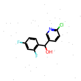 OC(c1ccc(Cl)nc1)c1ccc(F)cc1F